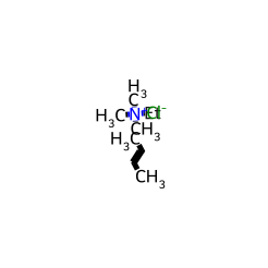 CC=CC.CC[N+](C)(C)C.[Cl-]